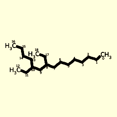 CCCCCCCCC([CH]C(CC)CCCC)CC